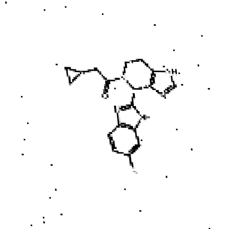 O=C(CC1CC1)N1CCc2[nH]cnc2[C@H]1c1nc2ccc(Br)cc2[nH]1